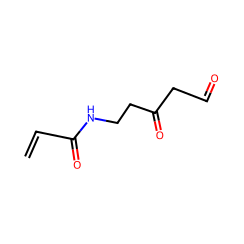 C=CC(=O)NCCC(=O)CC=O